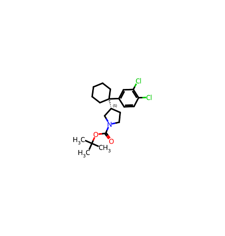 CC(C)(C)OC(=O)N1CC[C@@H](C2(c3ccc(Cl)c(Cl)c3)CCCCC2)C1